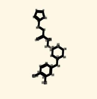 O=C(CSc1cccs1)NC[C@H]1CN(Cc2ccc(Cl)c(Cl)c2)CCO1